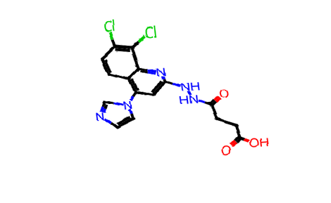 O=C(O)CCC(=O)NNc1cc(-n2ccnc2)c2ccc(Cl)c(Cl)c2n1